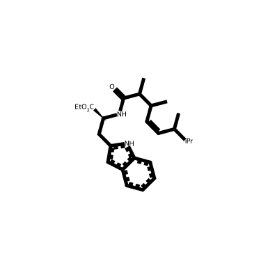 CCOC(=O)[C@H](Cc1cc2ccccc2[nH]1)NC(=O)C(C)C(C)/C=C\C(C)C(C)C